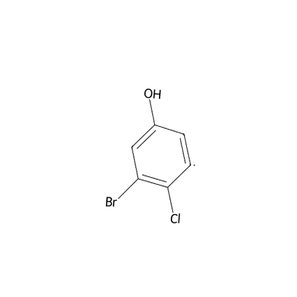 Oc1c[c]c(Cl)c(Br)c1